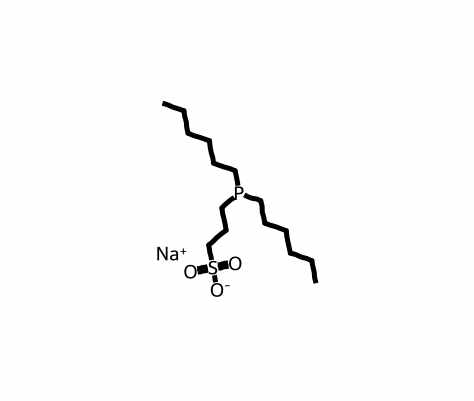 CCCCCCP(CCCCCC)CCCS(=O)(=O)[O-].[Na+]